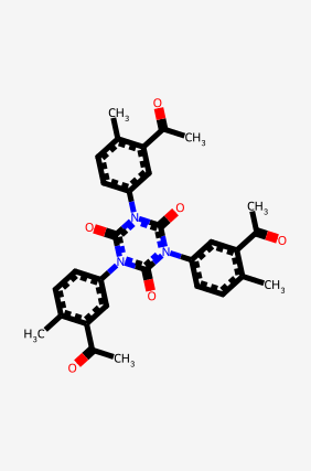 CC(=O)c1cc(-n2c(=O)n(-c3ccc(C)c(C(C)=O)c3)c(=O)n(-c3ccc(C)c(C(C)=O)c3)c2=O)ccc1C